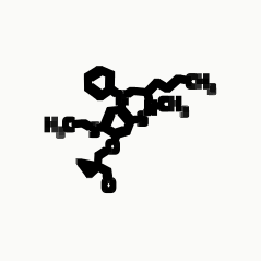 CCCCC1CN(c2ccccc2)c2cc(SCC)c(OCC3(C=O)CC3)cc2SN1C